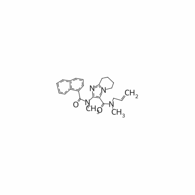 C=CCN(C)C(=O)c1c(N(C)C(=O)c2cccc3ccccc23)nc2n1CCCC2